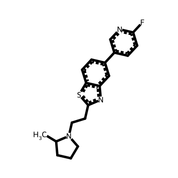 CC1CCCN1CCc1nc2cc(-c3ccc(F)nc3)ccc2s1